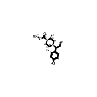 CC(C)CC(c1ccc(Cl)cc1)N1C[C@H](C)N(C(=O)OC(C)(C)C)C[C@H]1C